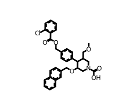 COCC1CN(C(=O)O)CC(OCc2ccc3ccccc3c2)C1c1ccc(COC(=O)c2ccccc2Cl)cc1